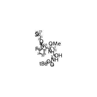 COc1ccc(C(O)CNC(=O)OC(C)(C)C)nc1-c1cn(COCC[Si](C)(C)C)c2c(F)cccc12